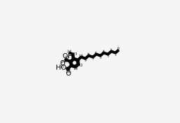 CCCCCCCCCCCc1ccc(C(=O)O)c(C(=O)O)c1CC